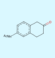 CC(=O)Nc1ccc2c(c1)CCC(=O)C2